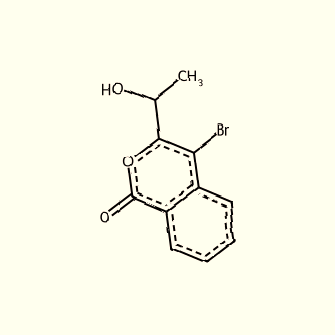 CC(O)c1oc(=O)c2ccccc2c1Br